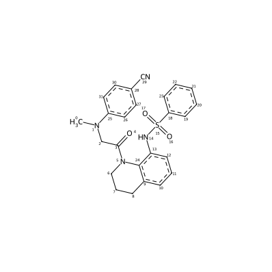 CN(CC(=O)N1CCCc2cccc(NS(=O)(=O)c3ccccc3)c21)c1ccc(C#N)cc1